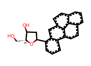 OC[C@H]1OC(c2cccc3c2cc2ccc4cccc5ccc3c2c45)CC1O